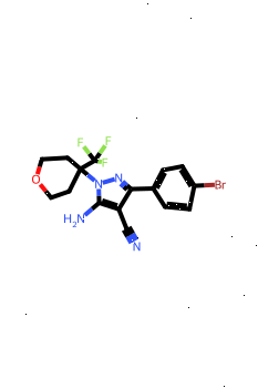 N#Cc1c(-c2ccc(Br)cc2)nn(C2(C(F)(F)F)CCOCC2)c1N